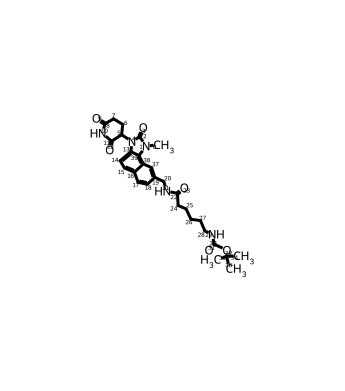 Cn1c(=O)n(C2CCC(=O)NC2=O)c2ccc3ccc(CNC(=O)CCCCCNC(=O)OC(C)(C)C)cc3c21